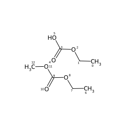 CCOC(=O)O.CCOC(=O)OC